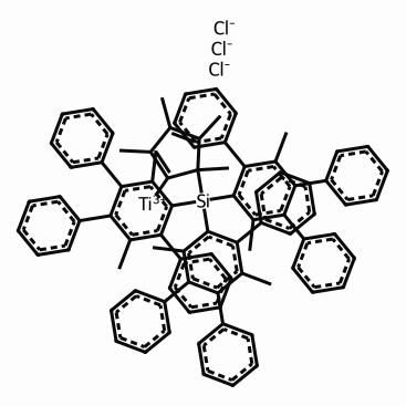 CC1=C(C)C(C)([Si](c2c(C)c(-c3ccccc3)c(-c3ccccc3)c(C)c2-c2ccccc2)(c2c(C)c(-c3ccccc3)c(-c3ccccc3)c(C)c2-c2ccccc2)c2c(C)c(-c3ccccc3)c(-c3ccccc3)c(C)c2-c2ccccc2)[C]([Ti+3])=C1C.[Cl-].[Cl-].[Cl-]